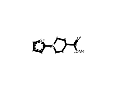 COC(=O)C1CCN(c2cccs2)CC1